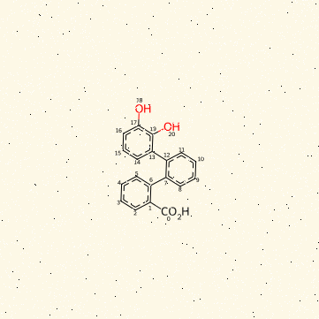 O=C(O)c1ccccc1-c1ccccc1-c1cccc(O)c1O